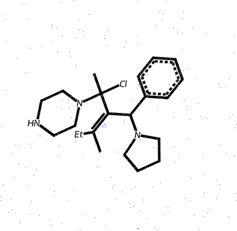 CC/C(C)=C(/C(c1ccccc1)N1CCCC1)C(C)(Cl)N1CCNCC1